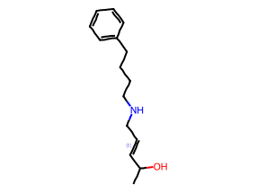 CC(O)/C=C/CNCCCCc1ccccc1